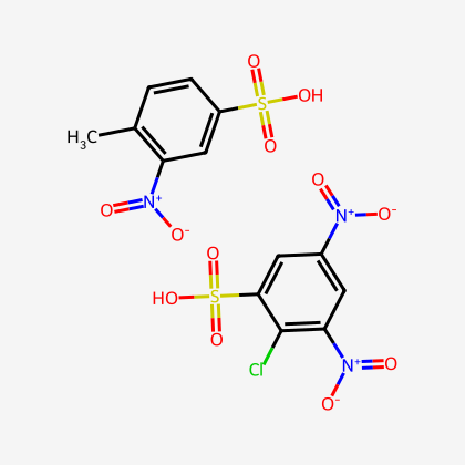 Cc1ccc(S(=O)(=O)O)cc1[N+](=O)[O-].O=[N+]([O-])c1cc([N+](=O)[O-])c(Cl)c(S(=O)(=O)O)c1